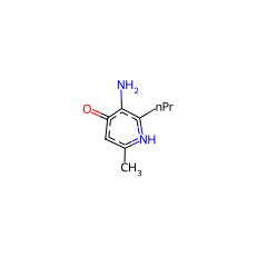 CCCc1[nH]c(C)cc(=O)c1N